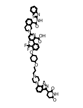 Cn1nc(C2CCC(=O)NC2=O)c2cccc(N3CCN(CCCOC4CCC(Oc5cccc(-c6ccc(N7CCc8cccc(C(=O)Nc9nc%10ccccc%10s9)c8C7)nc6C(=O)O)c5C(F)(F)F)CC4)CC3)c21